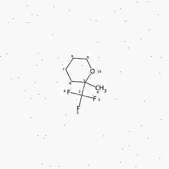 CC1(C(F)(F)F)CCCCO1